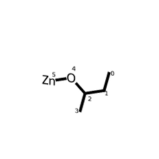 CCC(C)[O][Zn]